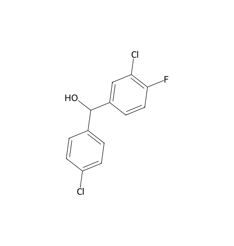 OC(c1ccc(Cl)cc1)c1ccc(F)c(Cl)c1